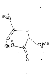 COC(CC(=O)OCC(C)C)C(=O)OCC(C)C